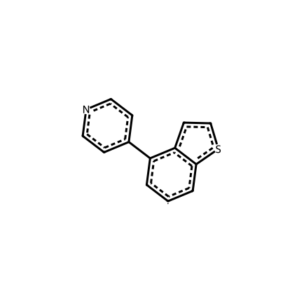 [c]1cc(-c2ccncc2)c2ccsc2c1